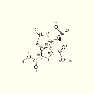 COC(=O)[C@H]1C[C@@H](C(=O)OC)[C@H]([C@H](CC(C)C)NC(C)=O)O1